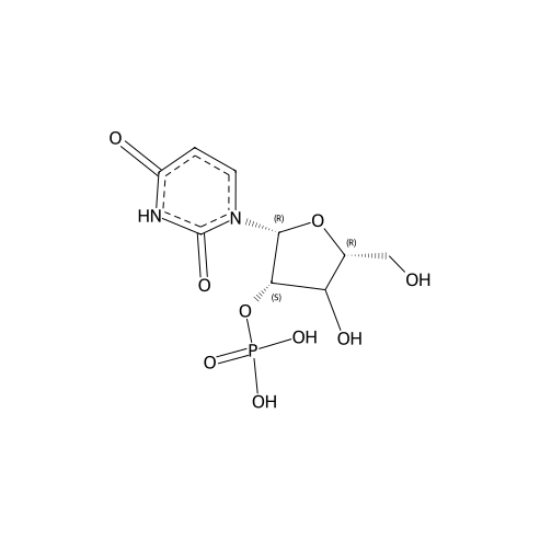 O=c1ccn([C@@H]2O[C@H](CO)C(O)[C@@H]2OP(=O)(O)O)c(=O)[nH]1